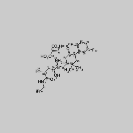 CC(C)CNC(=O)[C@@H](C[C@H](O)[C@@H](N)CN1CC(=O)N(c2cc(F)ccc2F)CC1(C)C)C(C)C.O=C(O)C=CC(=O)O